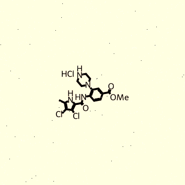 COC(=O)c1ccc(NC(=O)c2[nH]c(C)c(Cl)c2Cl)c(N2CCNCC2)c1.Cl